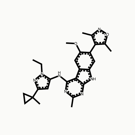 CCn1nc(C2(C)CC2)cc1Nc1nc(C)nc2[nH]c3cc(-c4c(C)noc4C)c(OC)cc3c12